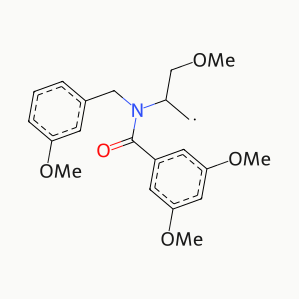 [CH2]C(COC)N(Cc1cccc(OC)c1)C(=O)c1cc(OC)cc(OC)c1